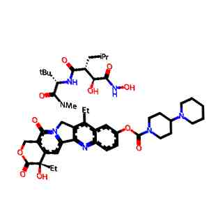 CCc1c2c(nc3ccc(OC(=O)N4CCC(N5CCCCC5)CC4)cc13)-c1cc3c(c(=O)n1C2)COC(=O)[C@]3(O)CC.CNC(=O)[C@@H](NC(=O)[C@H](CC(C)C)[C@H](O)C(=O)NO)C(C)(C)C